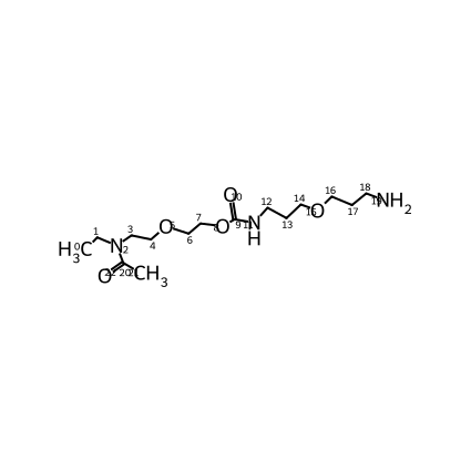 CCN(CCOCCOC(=O)NCCCOCCCN)C(C)=O